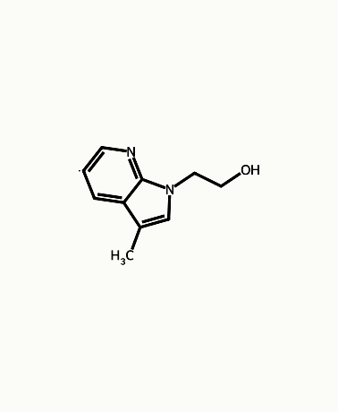 Cc1cn(CCO)c2nc[c]cc12